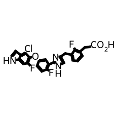 O=C(O)CCc1cccc(Cc2c[nH]c(-c3cc(Oc4c(F)cc5[nH]ccc5c4Cl)ccc3F)n2)c1F